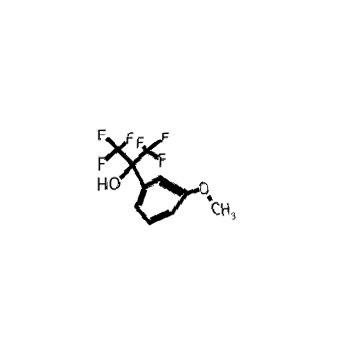 COc1cccc(C(O)(C(F)(F)F)C(F)(F)F)c1